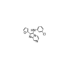 Clc1cccc(Nc2c(-c3ccco3)nc3cnccn23)c1